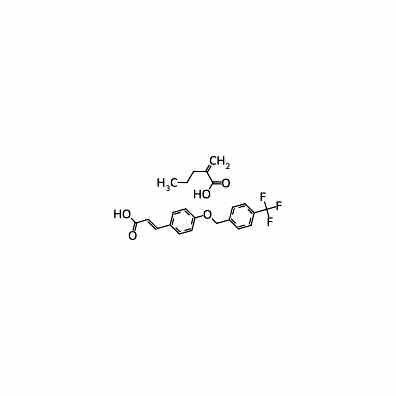 C=C(CCC)C(=O)O.O=C(O)C=Cc1ccc(OCc2ccc(C(F)(F)F)cc2)cc1